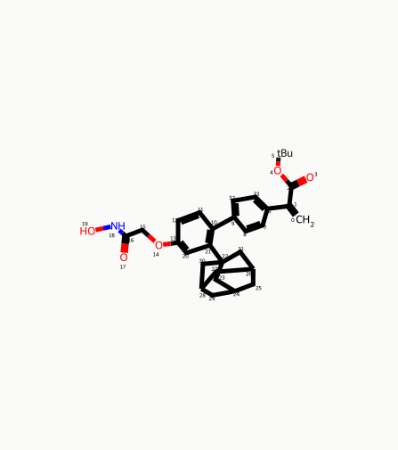 C=C(C(=O)OC(C)(C)C)c1ccc(-c2ccc(OCC(=O)NO)cc2C23CC4CC(CC(C4)C2)C3)cc1